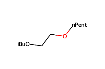 CCCCCOCCOCC(C)C